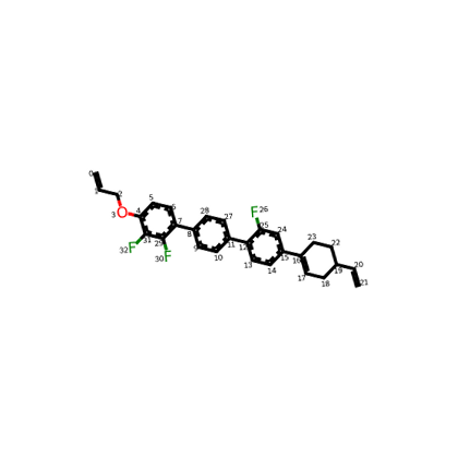 C=CCOc1ccc(-c2ccc(-c3ccc(C4=CCC(C=C)CC4)cc3F)cc2)c(F)c1F